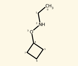 CCNOC1CCC1